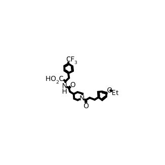 CCOc1ccc(CCC(=O)N2CCC(CC(=O)NC(Cc3ccc(C(F)(F)F)cc3)C(=O)O)CC2)cc1